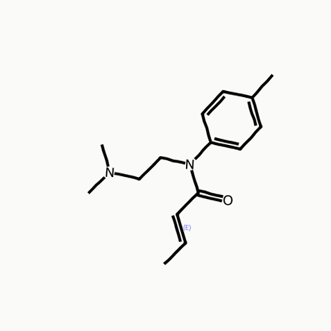 C/C=C/C(=O)N(CCN(C)C)c1ccc(C)cc1